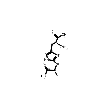 C[C@H](Nc1nc(C[C@H](N)C(=O)O)c[nH]1)C(=O)O